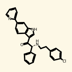 O=C(c1c[nH]c2cc(-c3ccccn3)ccc12)[C@H](NCCc1ccc(Cl)cc1)c1ccccc1